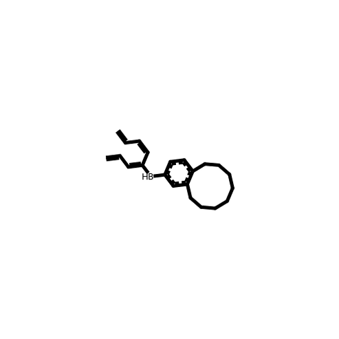 C=C/C=C\C(Bc1ccc2c(c1)CCCCCCCC2)=C/C=C